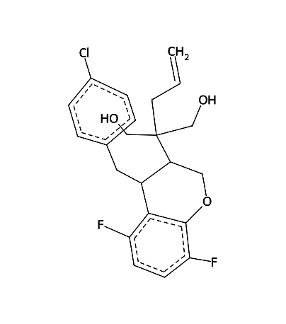 C=CCC(CO)(CO)C1COc2c(F)ccc(F)c2C1Cc1ccc(Cl)cc1